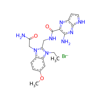 CCn1c(CNC(=O)c2nc3cc[nH]c3nc2N)[n+](CC(N)=O)c2ccc(OC)cc21.[Br-]